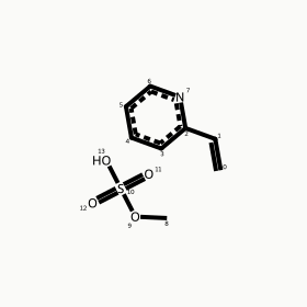 C=Cc1ccccn1.COS(=O)(=O)O